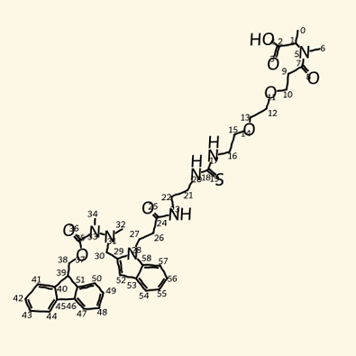 CC(C(=O)O)N(C)C(=O)CCOCCOCCNC(=S)NCCNC(=O)CCn1c(CN(C)N(C)C(=O)OCC2c3ccccc3-c3ccccc32)cc2ccccc21